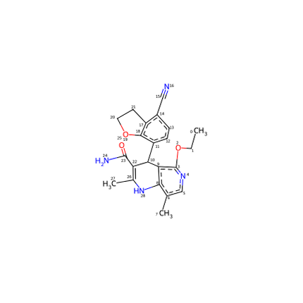 CCOc1ncc(C)c2c1C(c1ccc(C#N)c3c1OCC3)C(C(N)=O)=C(C)N2